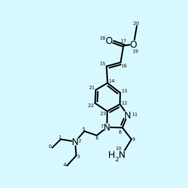 CCN(CC)CCn1c(CN)nc2cc(C=CC(=O)OC)ccc21